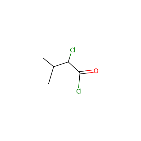 CC(C)C(Cl)C(=O)Cl